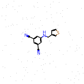 N#Cc1cc(C#N)cc(NCc2ccsc2)c1